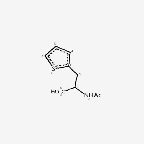 CC(=O)NC(Cc1cccs1)C(=O)O